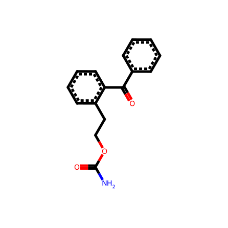 NC(=O)OCCc1ccccc1C(=O)c1ccccc1